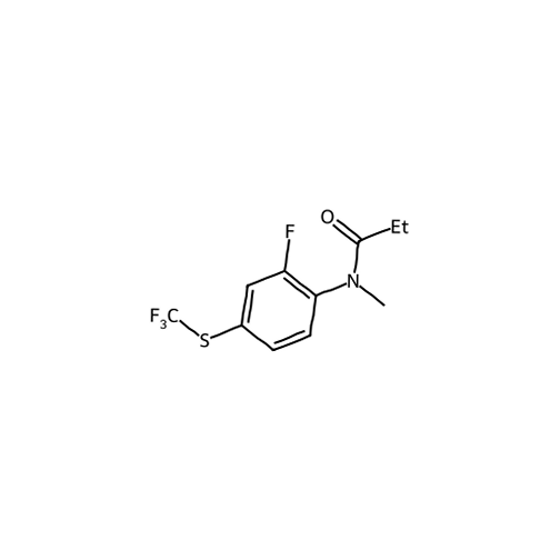 CCC(=O)N(C)c1ccc(SC(F)(F)F)cc1F